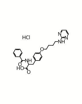 Cl.O=C(NC(Cc1ccc(OCCCCNc2ncccn2)cc1)C(=O)O)c1ccccc1